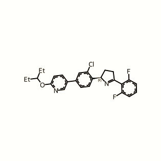 CCC(CC)Oc1ccc(-c2ccc([C@H]3CCC(c4c(F)cccc4F)=N3)c(Cl)c2)cn1